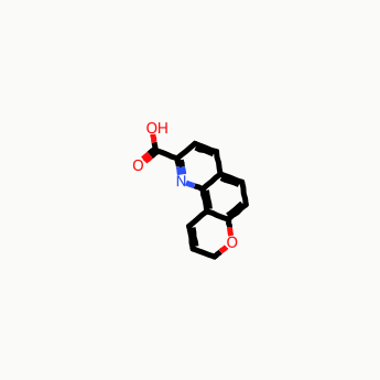 O=C(O)c1ccc2ccc3c(c2n1)C=CCO3